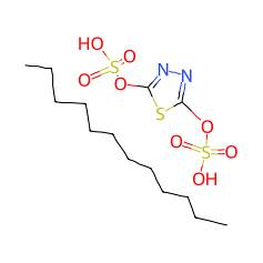 CCCCCCCCCCCC.O=S(=O)(O)Oc1nnc(OS(=O)(=O)O)s1